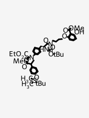 CCOC(=O)C(=O)N(CC(C(=O)OC)c1ccc(O[Si](C)(C)C(C)(C)C)cc1)c1ccc(C[C@H](NC(=O)OC(C)(C)C)C(=O)NCCCCOc2cccc(O)c2C(=O)OC)cc1